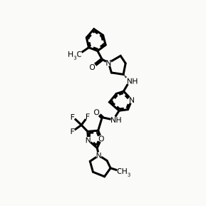 Cc1ccccc1C(=O)N1CC[C@H](Nc2ccc(NC(=O)c3oc(N4CCCC(C)C4)nc3C(F)(F)F)cn2)C1